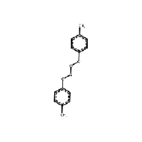 Cc1ccc(OOSOc2ccc(C)cc2)cc1